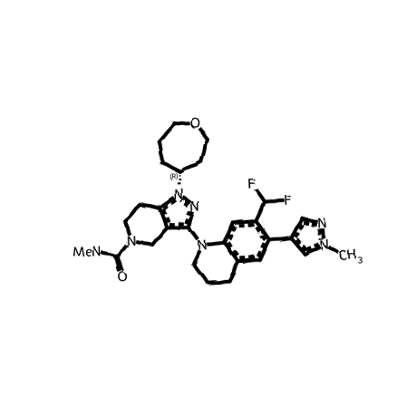 CNC(=O)N1CCc2c(c(N3CCCc4cc(-c5cnn(C)c5)c(C(F)F)cc43)nn2[C@@H]2CCCOCC2)C1